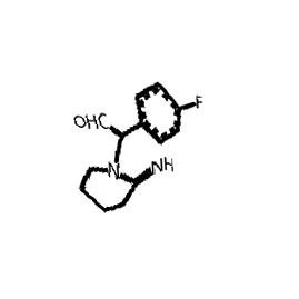 N=C1CCCCN1C(C=O)c1ccc(F)cc1